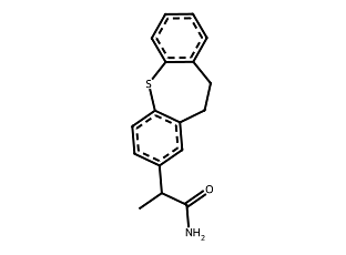 CC(C(N)=O)c1ccc2c(c1)CCc1ccccc1S2